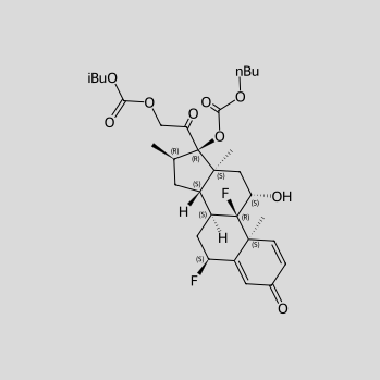 CCCCOC(=O)O[C@]1(C(=O)COC(=O)OCC(C)C)[C@H](C)C[C@H]2[C@@H]3C[C@H](F)C4=CC(=O)C=C[C@]4(C)[C@@]3(F)[C@@H](O)C[C@@]21C